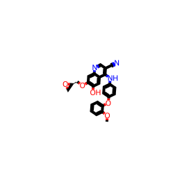 COc1ccccc1Oc1ccc(Nc2c(C#N)cnc3cc(OC[C@@H]4CO4)c(O)cc23)cc1